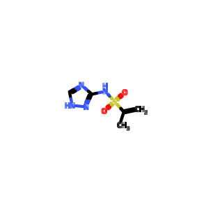 C=C(C)S(=O)(=O)Nc1nc[nH]n1